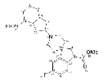 CCOC(=O)N1CCCC2CC(N3CCC4(CC3)CN(C(=O)OC)c3ccc(F)cc34)CC21